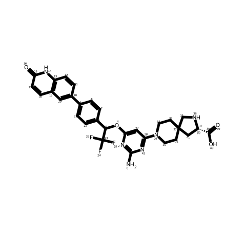 Nc1nc(OC(c2ccc(-c3ccc4[nH]c(=O)ccc4c3)cc2)C(F)(F)F)cc(N2CCC3(CC2)CN[C@H](C(=O)O)C3)n1